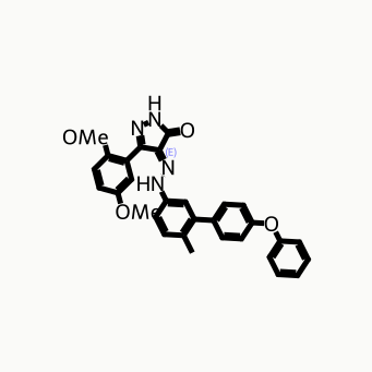 COc1ccc(OC)c(C2=NNC(=O)/C2=N/Nc2ccc(C)c(-c3ccc(Oc4ccccc4)cc3)c2)c1